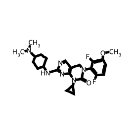 COc1ccc(F)c(N2Cc3cnc(NC4CCC(N(C)C)CC4)nc3N(C3CC3)C2=O)c1F